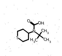 CC(C)(C)N(C(=O)O)C1CCSCC1